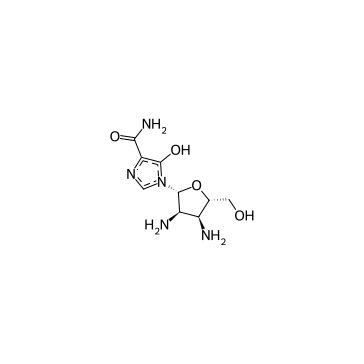 NC(=O)c1ncn([C@@H]2O[C@H](CO)[C@@H](N)[C@H]2N)c1O